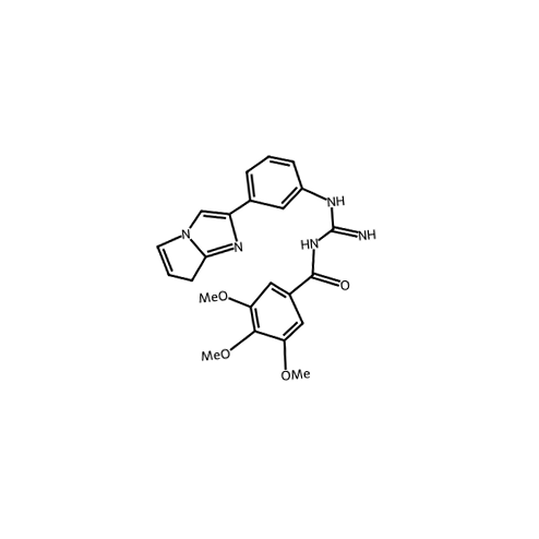 COc1cc(C(=O)NC(=N)Nc2cccc(-c3cn4c(n3)CC=C4)c2)cc(OC)c1OC